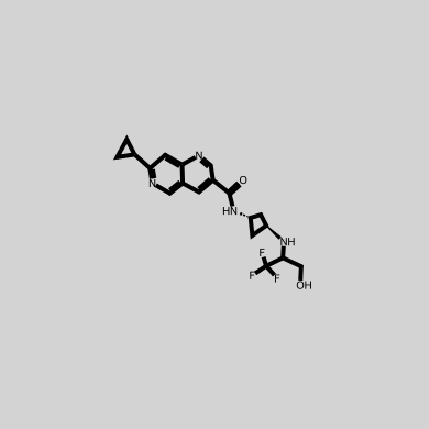 O=C(N[C@H]1C[C@H](NC(CO)C(F)(F)F)C1)c1cnc2cc(C3CC3)ncc2c1